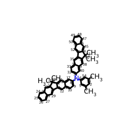 Cc1cc(C)cc(N(c2ccc3cc4c(cc3c2)C(C)(C)c2cc3ccccc3cc2-4)c2ccc3cc4c(cc3c2)C(C)(C)c2cc3ccccc3cc2-4)c1